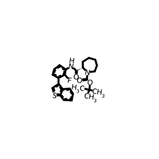 CC(C)(C)OC(=O)N1CCCCC[C@H]1C(=O)Nc1cccc(-c2csc3ccccc23)c1F